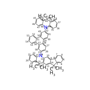 CC1(C)c2ccccc2-c2cc3c(cc21)C(C)(C)c1ccccc1N3c1ccc2c3ccc(N4c5ccccc5C(C)(C)c5ccccc54)cc3c3ccccc3c2c1